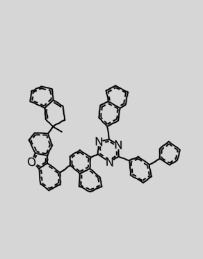 CC1(c2ccc3oc4cccc(-c5ccc(-c6nc(-c7cccc(-c8ccccc8)c7)nc(-c7ccc8ccccc8c7)n6)c6ccccc56)c4c3c2)C=c2ccccc2=CC1